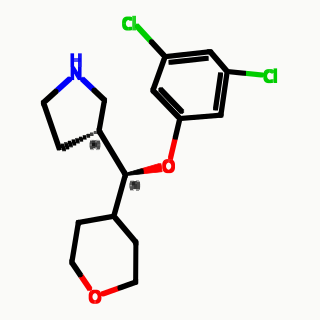 Clc1cc(Cl)cc(O[C@@H](C2CCOCC2)[C@@H]2CCNC2)c1